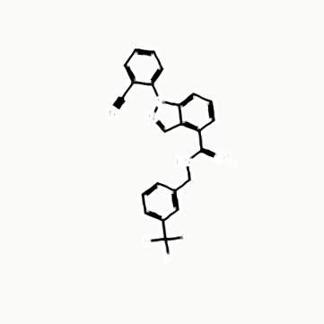 C=C(NCc1cccc(C(F)(F)F)c1)c1cccc2c1cnn2-c1ccccc1C#N